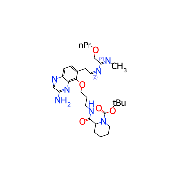 CCCOCC(/N=C\Cc1ccc2ncc(N)nc2c1OCCCNC(=O)C1CCCCN1C(=O)OC(C)(C)C)=N/C